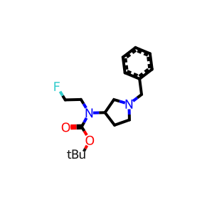 CC(C)(C)OC(=O)N(CCF)C1CCN(Cc2ccccc2)C1